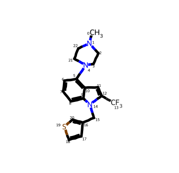 CN1CCN(c2cccc3c2cc(C(F)(F)F)n3Cc2ccsc2)CC1